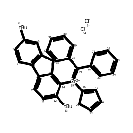 CC(C)(C)c1ccc2c(c1)Cc1c-2ccc(C(C)(C)C)[c]1[Zr+2]([C]1=CC=CC1)=[C](c1ccccc1)c1ccccc1.[Cl-].[Cl-]